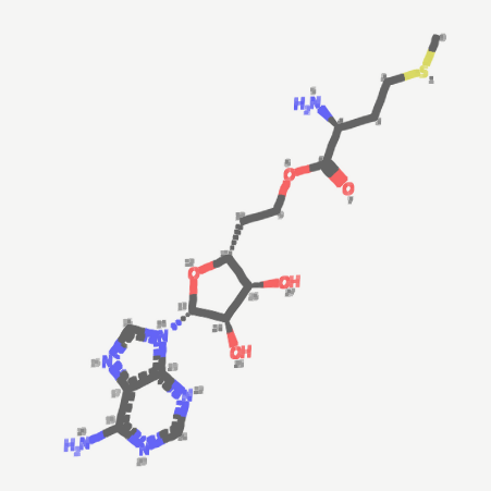 CSCC[C@H](N)C(=O)OCC[C@H]1O[C@@H](n2cnc3c(N)ncnc32)[C@H](O)[C@@H]1O